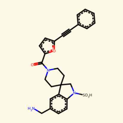 NCc1ccc2c(c1)C1(CCN(C(=O)c3ccc(C#Cc4ccccc4)o3)CC1)CN2S(=O)(=O)O